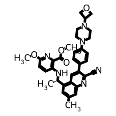 COC(=O)c1nc(OC)ccc1N[C@@H](C)c1cc(C)cc2nc(C#N)c(-c3ccc(N4CCN(C5COC5)CC4)cc3)cc12